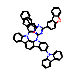 c1ccc(-c2cccc(-n3c4ccccc4c4ccc5c6cc(-n7c8ccccc8c8ccccc87)ccc6n(-c6nc(-c7ccccc7)nc(-c7ccc8oc9ccccc9c8c7)n6)c5c43)c2)cc1